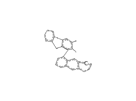 Cc1cc2c(c(-c3cccc4cc5ccccc5cc34)c1C)Cc1ccccc1-2